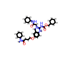 CN(C(=O)CCCOc1ccc2c(c1)CN(CC(=O)NC1CCCCC1)C(NC(=O)OCC1CCCCC1)=N2)C1CCCCC1